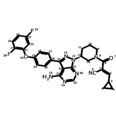 N#C/C(=C\C1CC1)C(=O)N1CCC[C@H](n2nc(-c3ccc(Oc4cc(F)ccc4F)cc3)c3c(N)ncnc32)C1